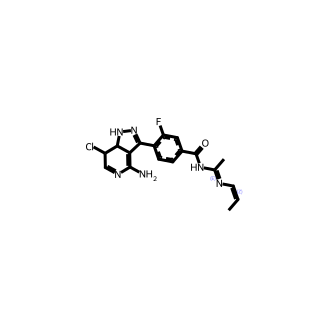 C/C=C\N=C(/C)NC(=O)c1ccc(C2=NNC3C2=C(N)N=CC3Cl)c(F)c1